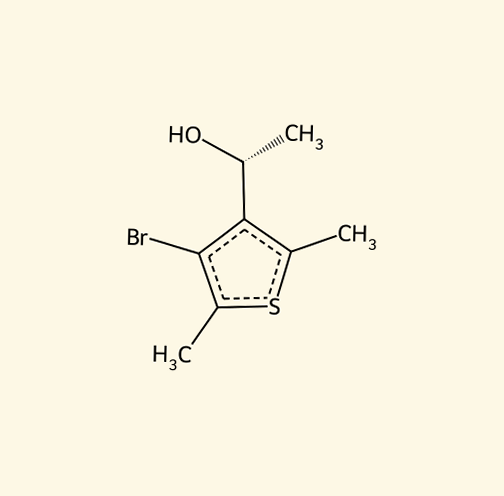 Cc1sc(C)c([C@@H](C)O)c1Br